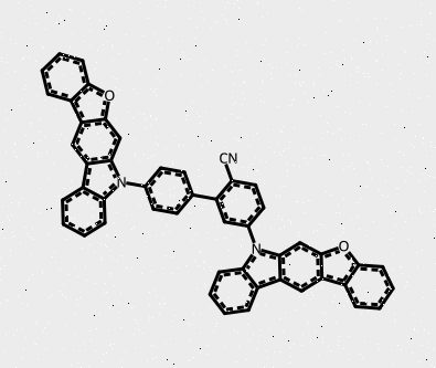 N#Cc1ccc(-n2c3ccccc3c3cc4c(cc32)oc2ccccc24)cc1-c1ccc(-n2c3ccccc3c3cc4c(cc32)oc2ccccc24)cc1